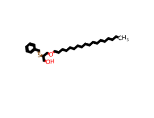 CCCCCCCCCCCCCCCCCCOCC(CO)SCc1ccccc1